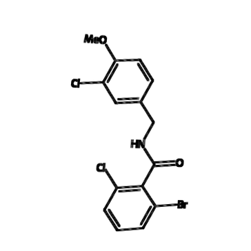 COc1ccc(CNC(=O)c2c(Cl)cccc2Br)cc1Cl